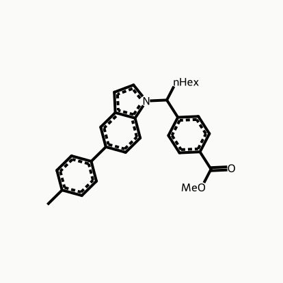 CCCCCCC(c1ccc(C(=O)OC)cc1)n1ccc2cc(-c3ccc(C)cc3)ccc21